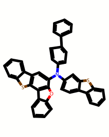 c1ccc(-c2ccc(N(c3ccc4c(c3)sc3ccccc34)c3cc4c5ccccc5sc4c4c3oc3ccccc34)cc2)cc1